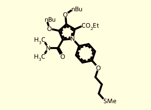 CCCCOc1c(OCCCC)c(C(=O)N(C)C)n(-c2ccc(OCCCSC)cc2)c1C(=O)OCC